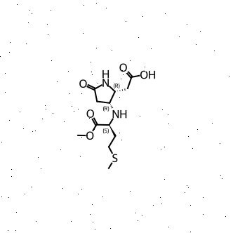 COC(=O)[C@H](CCSC)N[C@@H]1CC(=O)N[C@@H]1CC(=O)O